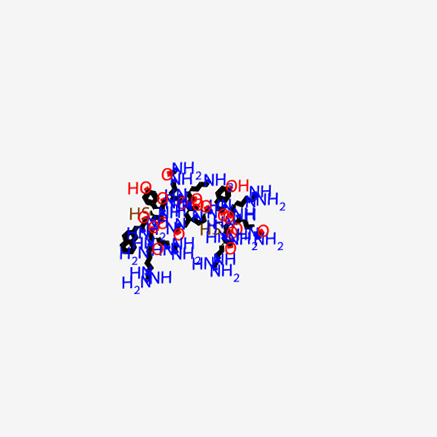 N=C(N)NCCC[C@H](NC(=O)[C@H](CS)NC(=O)[C@H](CCCNC(N)=O)NC(=O)[C@H](CCCNC(=N)N)NC(=O)[C@H](Cc1ccc(O)cc1)NC(=O)[C@@H]1CCCN1C(=O)[C@@H](CCCNC(N)=O)NC(=O)[C@H](CCCCN)NC(=O)[C@H](CCCNC(N)=O)NC(=O)[C@H](Cc1ccc(O)cc1)NC(=O)[C@H](CS)NC(=O)[C@H](Cc1ccc2ccccc2c1)NC(=O)[C@H](CCCNC(=N)N)NC(=O)[C@@H](N)CCCNC(=N)N)C(N)=O